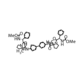 COC(=O)N[C@@H](C(=O)N1CCCC1(C)C(=O)Nc1ccc(-c2ccc(NC(=O)C3(C)CCCN3C(=O)[C@H](NC(=O)OC)c3ccccc3)cc2)cc1)c1ccccc1